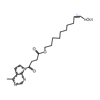 CCCCCCCC/C=C\CCCCCCCCOC(=O)CCC(=O)n1ccc2c(C)ncnc21